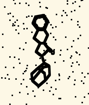 O=C1C2Cc3ccccc3CC2CN1C1C2CC3CC(C2)CC1C3